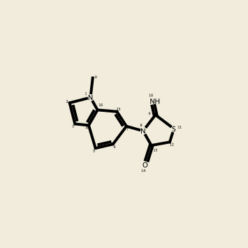 Cn1ccc2ccc(N3C(=N)SCC3=O)cc21